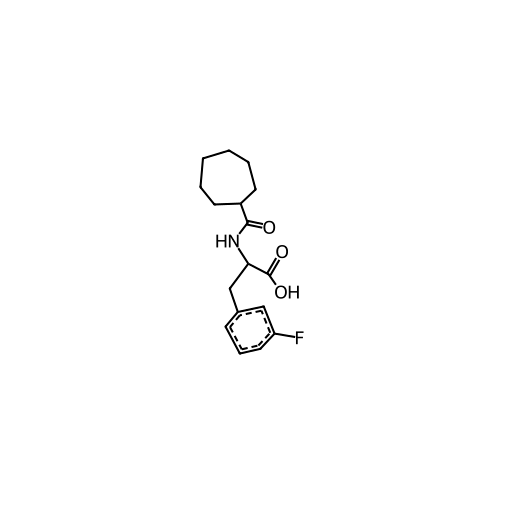 O=C(NC(Cc1cccc(F)c1)C(=O)O)C1CCCCCC1